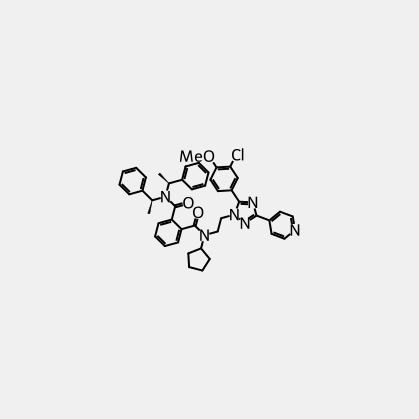 COc1ccc(-c2nc(-c3ccncc3)nn2CCN(C(=O)c2ccccc2C(=O)N([C@@H](C)c2ccccc2)[C@@H](C)c2ccccc2)C2CCCC2)cc1Cl